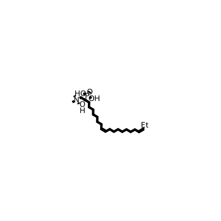 CC/C=C\CCCCCCC/C=C\CCCCCCCC(O)(C[N+](C)(C)C)P(=O)(O)O